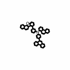 c1cc(-c2cccc3oc4c5ccccc5ccc4c23)cc(N(c2ccc(-c3cc4ccccc4c4ccccc34)cc2)c2cccc3c2ccc2ccccc23)c1